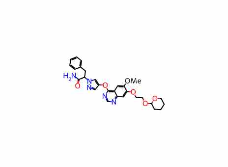 COc1cc2c(Oc3cnn(C(Cc4ccccc4)C(N)=O)c3)ncnc2cc1OCCOC1CCCCO1